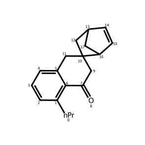 CCCc1cccc2c1C(=O)CC1(C2)CC2C=CC1C2